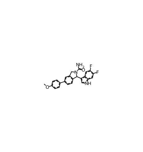 COc1ccc(-c2ccc3c(c2)CN(C(N)=O)C3c2c[nH]c3cc(F)c(F)cc23)cc1